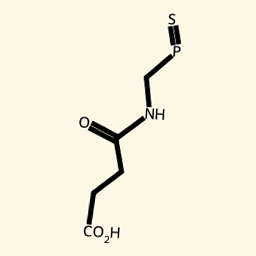 O=C(O)CCC(=O)NCP=S